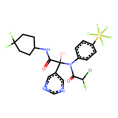 B[C@](C(=O)NC1CCC(F)(F)CC1)(c1cncnc1)N(C(=O)[C@H](F)Cl)c1ccc(S(F)(F)(F)(F)F)cc1